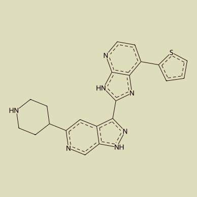 c1csc(-c2ccnc3[nH]c(-c4n[nH]c5cnc(C6CCNCC6)cc45)nc23)c1